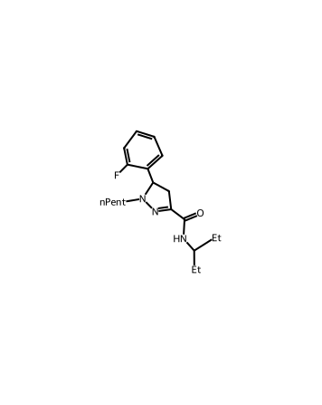 CCCCCN1N=C(C(=O)NC(CC)CC)CC1c1ccccc1F